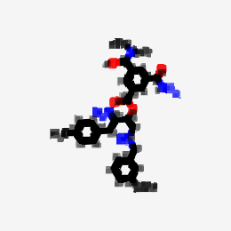 CCCN(CCC)C(=O)c1cc(C(N)=O)cc(C(=O)OC(CNCc2cccc(OC)c2)C(N)Cc2ccc(C)cc2)c1